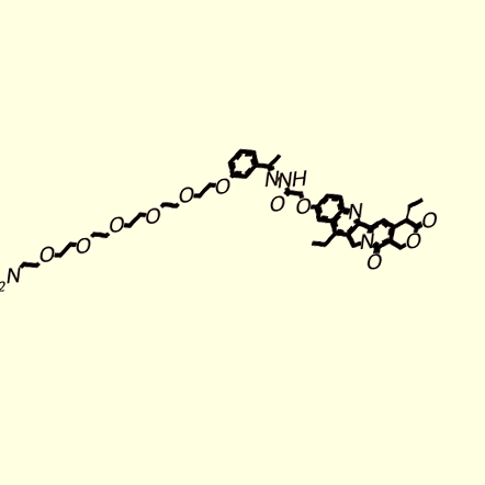 CCc1c2c(nc3ccc(OCC(=O)N/N=C(\C)c4cccc(OCCOCCOCCOCCOCCOCCN)c4)cc13)-c1cc3c(c(=O)n1C2)COC(=O)[C@@H]3CC